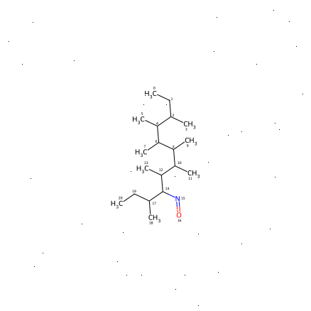 CCC(C)C(C)C(C)C(C)C(C)C(C)C(N=O)C(C)CC